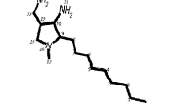 CCCCCCCCCC1C(N)C(CN)CN1C